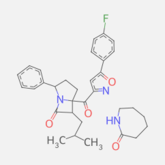 CC(C)CC1C(=O)N2C(c3ccccc3)CCC12C(=O)c1cc(-c2ccc(F)cc2)on1.O=C1CCCCCN1